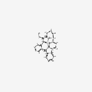 CCn1c(-c2ccccc2-n2c3ccccc3c3ccccc32)nc2ccccc21